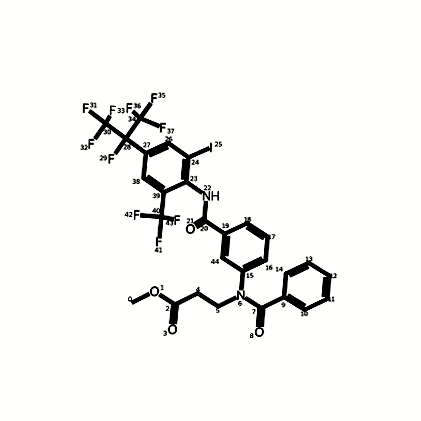 COC(=O)CCN(C(=O)c1ccccc1)c1cccc(C(=O)Nc2c(I)cc(C(F)(C(F)(F)F)C(F)(F)F)cc2C(F)(F)F)c1